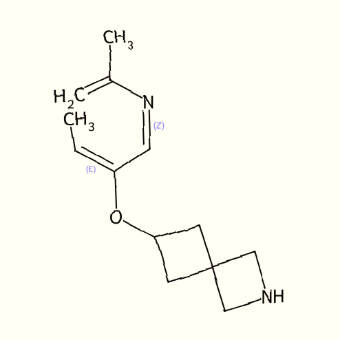 C=C(C)/N=C\C(=C/C)OC1CC2(CNC2)C1